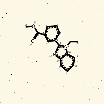 CCn1c(-c2cccc(C(=O)OC)c2)nc2ccccc21